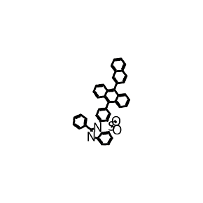 O=S1(=O)c2cc(-c3c4ccccc4c(-c4ccc5ccccc5c4)c4ccccc34)ccc2-n2c(-c3ccccc3)nc3cccc1c32